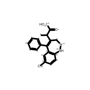 CC(C(=O)C(=O)O)C1=C(c2ccccc2)c2cc(Cl)ccc2N[N]C1